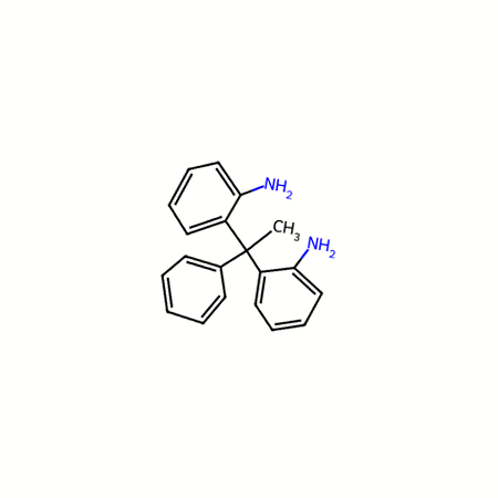 CC(c1ccccc1)(c1ccccc1N)c1ccccc1N